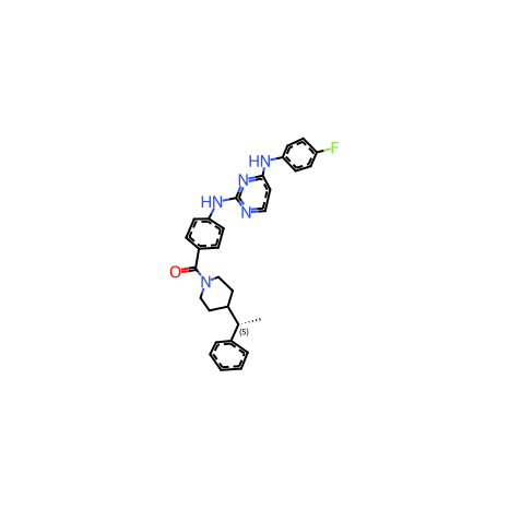 C[C@H](c1ccccc1)C1CCN(C(=O)c2ccc(Nc3nccc(Nc4ccc(F)cc4)n3)cc2)CC1